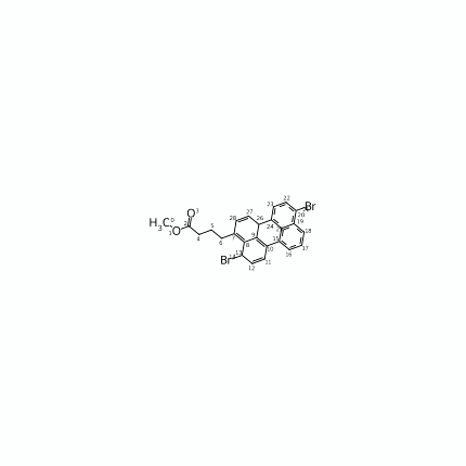 COC(=O)CCCC1=C2C3=C(C=CC2Br)c2cccc4c(Br)ccc(c24)C3C=C1